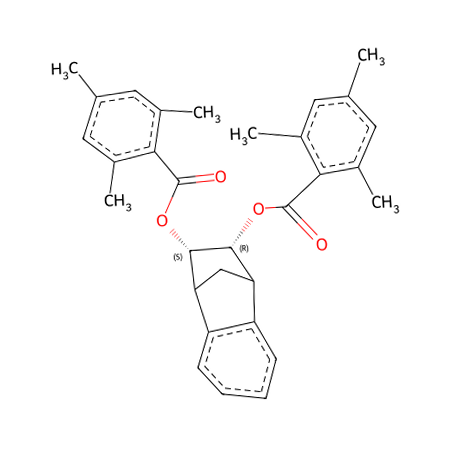 Cc1cc(C)c(C(=O)O[C@@H]2C3CC(c4ccccc43)[C@@H]2OC(=O)c2c(C)cc(C)cc2C)c(C)c1